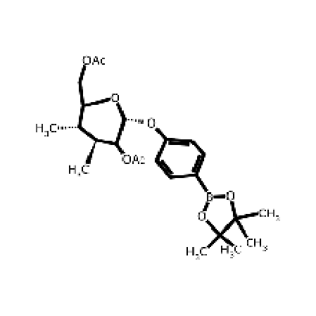 CC(=O)OCC1O[C@H](Oc2ccc(B3OC(C)(C)C(C)(C)O3)cc2)C(OC(C)=O)[C@@H](C)[C@@H]1C